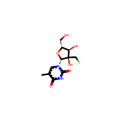 Cc1cn([C@@H]2O[C@H](CO)[C@@H](O)[C@]2(O)CF)c(=O)[nH]c1=O